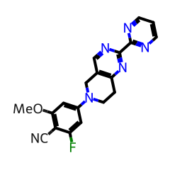 COc1cc(N2CCc3nc(-c4ncccn4)ncc3C2)cc(F)c1C#N